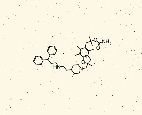 Cc1c(C)c2c(c(C)c1CC(C)(C)OC(N)=O)CC(C)(CN1CCC(CCNCCC(c3ccccc3)c3ccccc3)CC1)O2